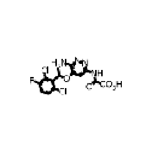 CC(Oc1cc(NC(=O)C(=O)O)nnc1N)c1c(Cl)ccc(F)c1Cl